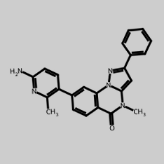 Cc1nc(N)ccc1-c1ccc2c(=O)n(C)c3cc(-c4ccccc4)nn3c2c1